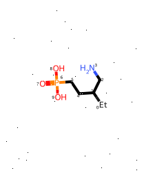 CCC(CN)CCP(=O)(O)O